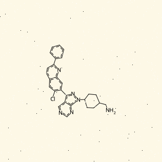 NCC1CCC(n2nc(-c3cc4nc(-c5ccccc5)ccc4cc3Cl)c3cncnc32)CC1